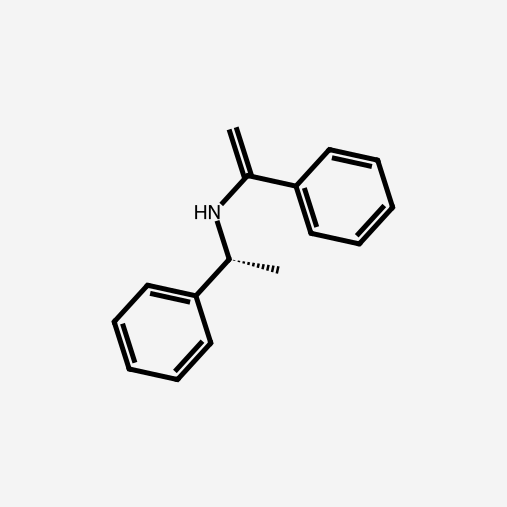 C=C(N[C@H](C)c1ccccc1)c1ccccc1